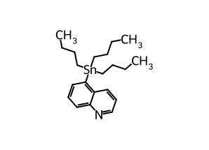 CCC[CH2][Sn]([CH2]CCC)([CH2]CCC)[c]1cccc2ncccc12